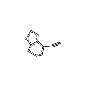 N#Cc1cccc2o[c]cc12